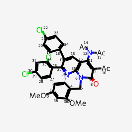 COc1ccc(Cn2c(=O)c(C(C)=O)c(N(C(C)=O)C(C)=O)c3cc(-c4ccc(Cl)cc4)c(-c4ccc(Cl)cc4Cl)nc32)c(OC)c1